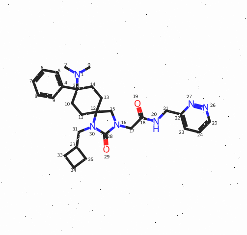 CN(C)C1(c2ccccc2)CCC2(CC1)CN(CC(=O)NCc1cccnn1)C(=O)N2CC1CCC1